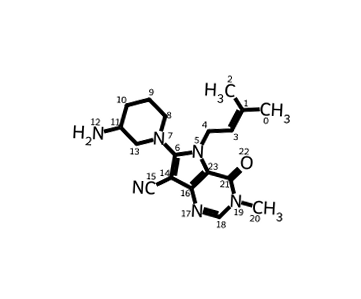 CC(C)=CCn1c(N2CCCC(N)C2)c(C#N)c2ncn(C)c(=O)c21